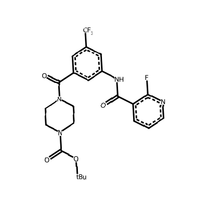 CC(C)(C)OC(=O)N1CCN(C(=O)c2cc(NC(=O)c3cccnc3F)cc(C(F)(F)F)c2)CC1